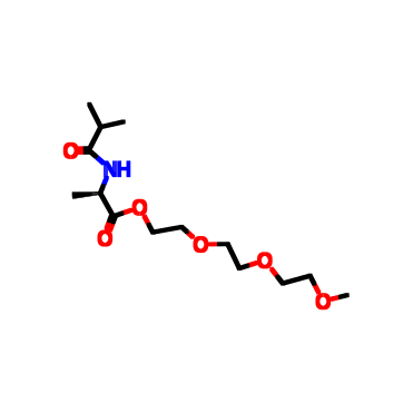 COCCOCCOCCOC(=O)[C@@H](C)NC(=O)C(C)C